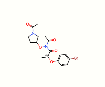 CC(=O)N1CCC(ON(C(C)=O)C(=O)[C@H](C)Oc2ccc(Br)cc2)C1